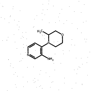 CC1COCCN1c1ccncc1N